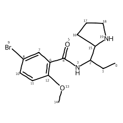 CCC(NC(=O)c1cc(Br)ccc1OC)C1CCCN1